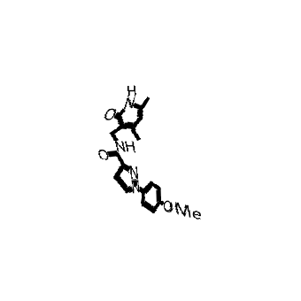 COc1ccc(-n2ccc(C(=O)NCc3c(C)cc(C)[nH]c3=O)n2)cc1